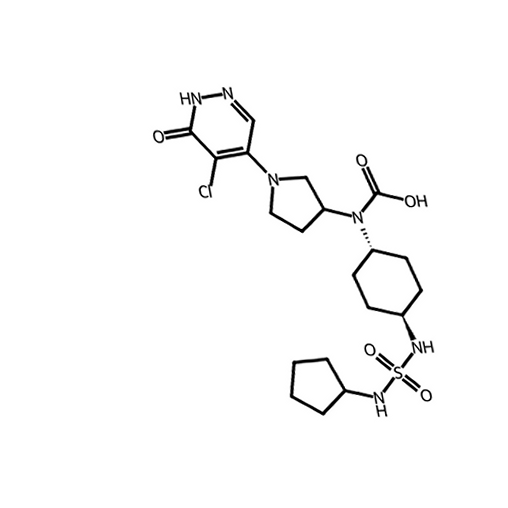 O=C(O)N(C1CCN(c2cn[nH]c(=O)c2Cl)C1)[C@H]1CC[C@H](NS(=O)(=O)NC2CCCC2)CC1